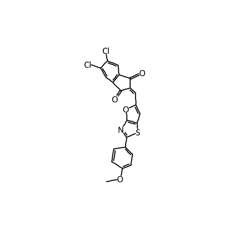 COc1ccc(-c2nc3oc(C=C4C(=O)c5cc(Cl)c(Cl)cc5C4=O)cc3s2)cc1